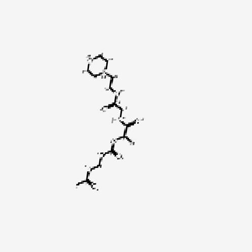 CC(=O)OCOC(=O)SC(C)C(=O)NCC(=O)OCCN1CCOCC1